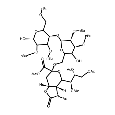 CCCCOCC1O[C@@H](O)C(OCCCC)C(OCCCC)[C@@H]1OC1OC(CO[C@]2(C(=O)OC)C[C@H]3OC(=O)N(C(C)=O)[C@H]3C([C@H](OC)[C@@H](COC(C)=O)OC(C)=O)O2)C(O)[C@H](OCCCC)[C@@H]1OCCCC